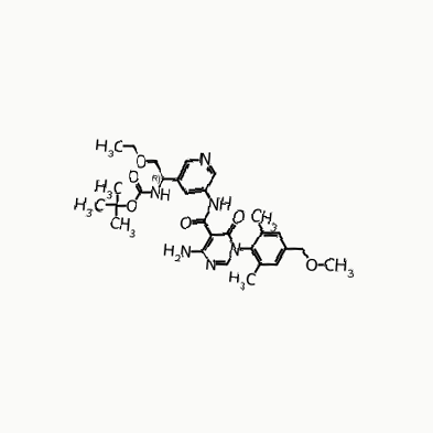 CCOC[C@H](NC(=O)OC(C)(C)C)c1cncc(NC(=O)c2c(N)ncn(-c3c(C)cc(COC)cc3C)c2=O)c1